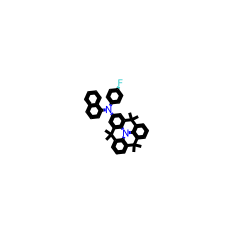 CC1(C)c2cccc3c2N2c4c1cccc4C(C)(C)c1cc(N(c4ccc(F)cc4)c4cccc5ccccc45)cc(c12)C3(C)C